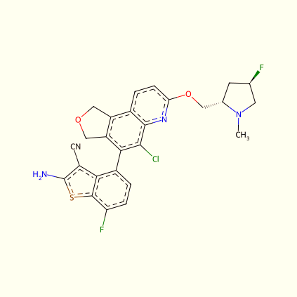 CN1C[C@H](F)C[C@H]1COc1ccc2c3c(c(-c4ccc(F)c5sc(N)c(C#N)c45)c(Cl)c2n1)COC3